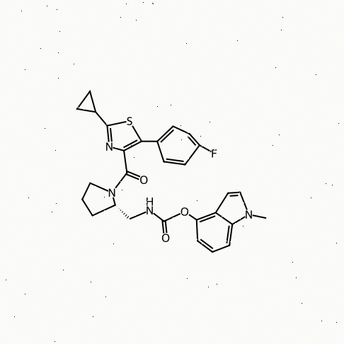 Cn1ccc2c(OC(=O)NC[C@@H]3CCCN3C(=O)c3nc(C4CC4)sc3-c3ccc(F)cc3)cccc21